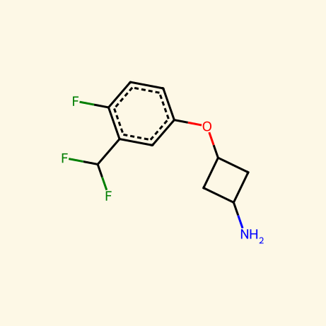 NC1CC(Oc2ccc(F)c(C(F)F)c2)C1